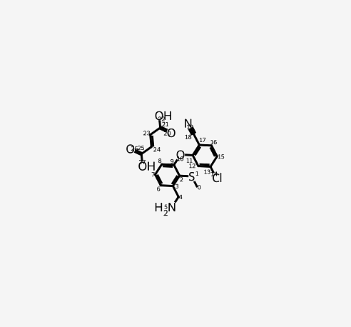 CSc1c(CN)cccc1Oc1cc(Cl)ccc1C#N.O=C(O)C=CC(=O)O